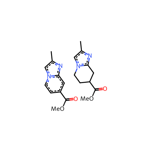 COC(=O)C1CCn2cc(C)nc2C1.COC(=O)c1ccn2cc(C)nc2c1